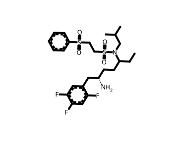 CCC(CC[C@H](N)Cc1cc(F)c(F)cc1F)N(CC(C)C)S(=O)(=O)CCS(=O)(=O)c1ccccc1